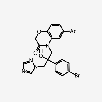 CC(=O)c1ccc2c(c1)N(CC(O)(Cn1cncn1)c1ccc(Br)cc1)C(=O)CO2